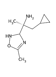 CC1=NC([C@@](C)(N)CC2CC2)NO1